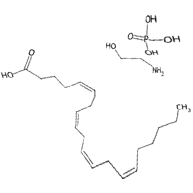 CCCCC/C=C\C/C=C\C/C=C\C/C=C\CCCC(=O)O.NCCO.O=P(O)(O)O